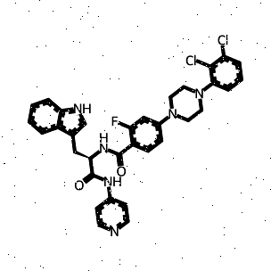 O=C(N[C@H](Cc1c[nH]c2ccccc12)C(=O)Nc1ccncc1)c1ccc(N2CCN(c3cccc(Cl)c3Cl)CC2)cc1F